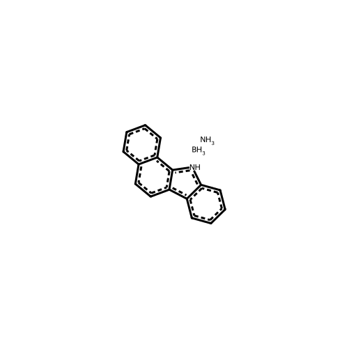 B.N.c1ccc2c(c1)ccc1c3ccccc3[nH]c21